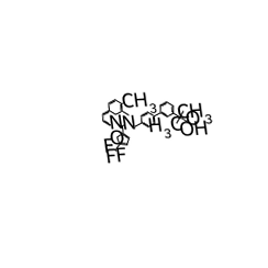 Cc1ccc2cccnc2c1CN(Cc1ccc(-c2cccc(C(C)(C)C(=O)O)c2)cc1)Cc1ccc(C(F)(F)F)o1